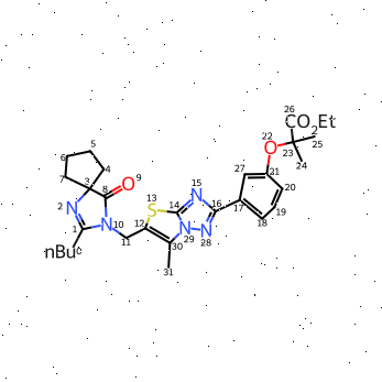 CCCCC1=NC2(CCCC2)C(=O)N1Cc1sc2nc(-c3cccc(OC(C)(C)C(=O)OCC)c3)nn2c1C